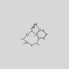 CC(C)c1cccc2c1C(C(C)C)CCOCC2